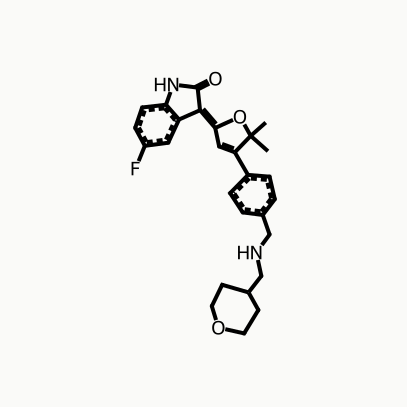 CC1(C)OC(=C2C(=O)Nc3ccc(F)cc32)C=C1c1ccc(CNCC2CCOCC2)cc1